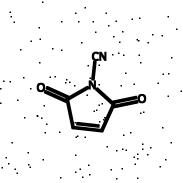 N#CN1C(=O)C=CC1=O